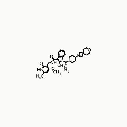 CSc1cc(C)[nH]c(=O)c1CNC(=O)c1c(C)n(C(C)C2CCC(N3CC4(CCOCC4)C3)CC2)c2ccccc12